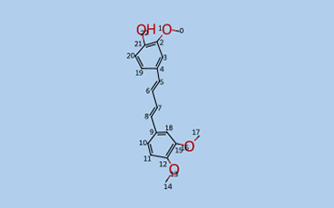 COc1cc(C=CC=Cc2ccc(OC)c(OC)c2)ccc1O